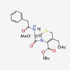 CO[C@@]1(NC(=O)Cc2ccccc2)C(=O)N2C(C(=O)OC(C)(C)C)=C(COC(C)=O)CS[C@@H]21